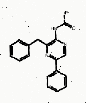 CC(C)C(=O)Nc1ncc(-c2ccccc2)nc1Cc1ccccc1